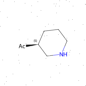 CC(=O)[C@H]1CCCNC1